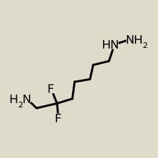 NCC(F)(F)CCCCCNN